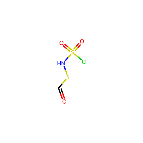 O=[C]SNS(=O)(=O)Cl